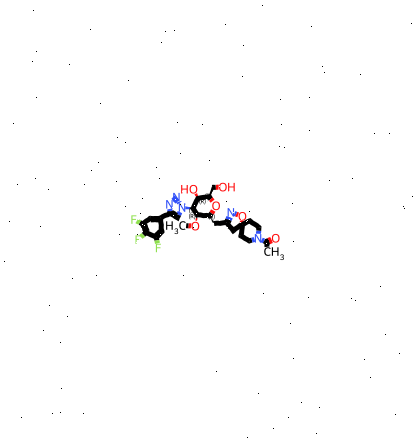 CO[C@@H]1[C@@H](n2cc(-c3cc(F)c(F)c(F)c3)nn2)[C@@H](O)[C@@H](CO)O[C@@H]1CC1=NOC2(CCN(C(C)=O)CC2)C1